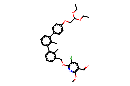 CCOC(COc1ccc(-c2cccc(-c3cccc(COc4nc(OC)c(C=O)cc4Cl)c3C)c2C)cc1)OCC